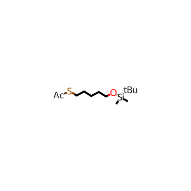 CC(=O)SCCCCCO[Si](C)(C)C(C)(C)C